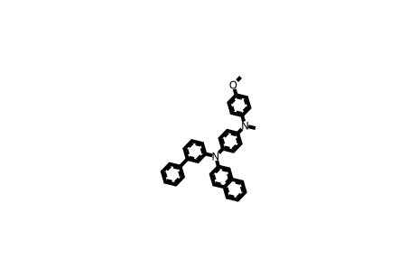 COc1ccc(N(C)c2ccc(N(c3cccc(-c4ccccc4)c3)c3ccc4ccccc4c3)cc2)cc1